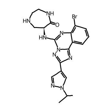 CC(C)n1cc(-c2nc3c4cccc(Br)c4nc(N[C@H]4CNCCNC4=O)n3n2)cn1